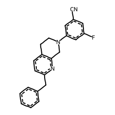 N#Cc1cc(F)cc(N2CCc3ccc(Cc4ccccc4)nc3C2)c1